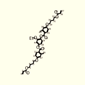 C=CC(=O)OCCCCOc1ccc(C(=O)Oc2ccc(OC(=O)c3ccc(OCCCCOC(=O)C=C)cc3C)c(OCC)c2)c(C)c1